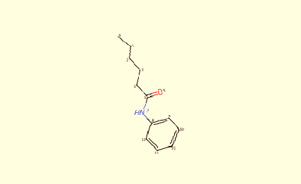 CCCCCC(=O)Nc1cc[c]cc1